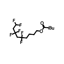 CCC(C)C(=O)OCCCCC(F)(F)CC(F)(F)CC(F)F